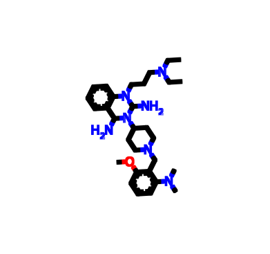 CCN(CC)CCCN1c2ccccc2C(N)N(C2CCN(Cc3c(OC)cccc3N(C)C)CC2)C1N